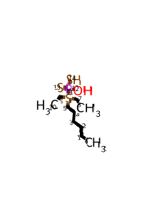 CCCCCCS(CC)(CC)P(O)(=S)S